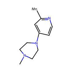 CN1CCN(c2ccn[c]([Mn])c2)CC1